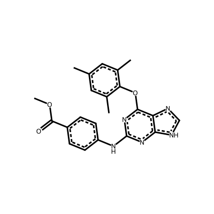 COC(=O)c1ccc(Nc2nc(Oc3c(C)cc(C)cc3C)c3nc[nH]c3n2)cc1